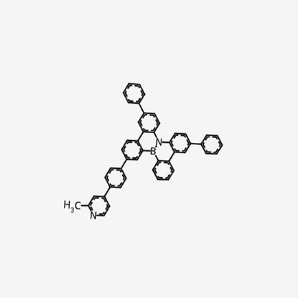 Cc1cc(-c2ccc(-c3ccc4c(c3)B3c5ccccc5-c5cc(-c6ccccc6)ccc5N3c3ccc(-c5ccccc5)cc3-4)cc2)ccn1